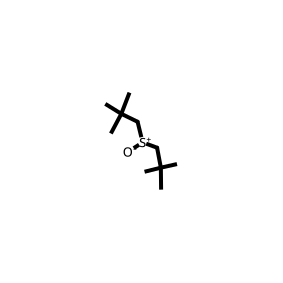 CC(C)(C)C[S+]([O-])CC(C)(C)C